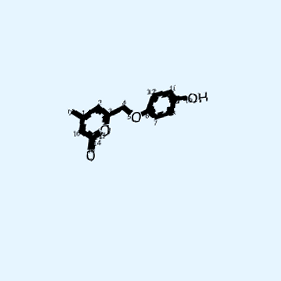 Cc1cc(COc2ccc(O)cc2)oc(=O)c1